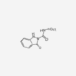 CCCCCCCCNC(=O)n1[nH]c2ccccc2c1=O